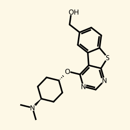 CN(C)[C@H]1CC[C@H](Oc2ncnc3sc4ccc(CO)cc4c23)CC1